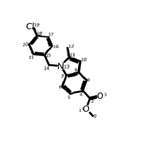 COC(=O)c1ccc2c(c1)cc(C)n2Cc1ccc(Cl)cc1